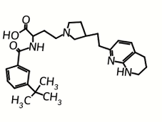 CC(C)(C)c1cccc(C(=O)NC(CCN2CCC(CCc3ccc4c(n3)NCCC4)C2)C(=O)O)c1